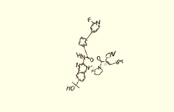 CC(C)/C=C(\C#N)C(=O)N1CCC[C@@H]1Cn1c(NC(=O)c2ccc(-c3ccnc(F)c3)s2)nc2cc(C(C)(C)O)ccc21